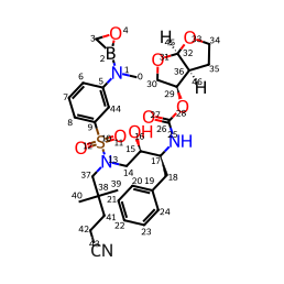 CN(B1CO1)c1cccc(S(=O)(=O)N(C[C@@H](O)[C@H](Cc2ccccc2)NC(=O)O[C@H]2CO[C@H]3OCC[C@H]32)CC(C)(C)CCC#N)c1